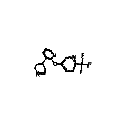 FC(F)(F)c1ccc(Oc2ncccc2C2=CCN=CC2)cn1